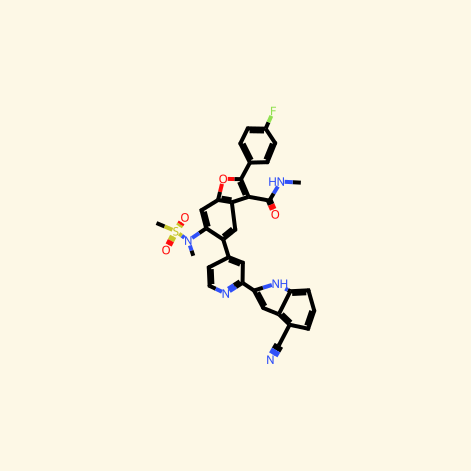 CNC(=O)c1c(-c2ccc(F)cc2)oc2cc(N(C)S(C)(=O)=O)c(-c3ccnc(-c4cc5c(C#N)cccc5[nH]4)c3)cc12